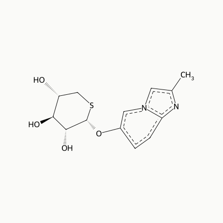 Cc1cn2cc(O[C@H]3SC[C@@H](O)[C@H](O)[C@H]3O)ccc2n1